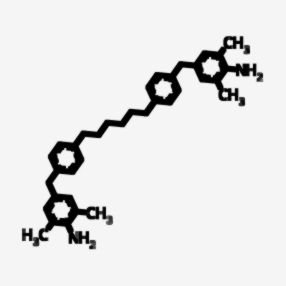 Cc1cc(Cc2ccc(CCCCCCc3ccc(Cc4cc(C)c(N)c(C)c4)cc3)cc2)cc(C)c1N